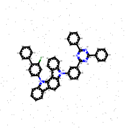 Fc1cc(-n2c3ccccc3c3ccc4c(c5ccccc5n4-c4cccc(-c5nc(-c6ccccc6)nc(-c6ccccc6)n5)c4)c32)ccc1-c1ccccc1